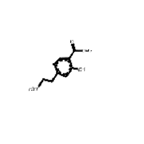 CCCCCCCCCCc1ccc(C(=O)OC)c(O)c1